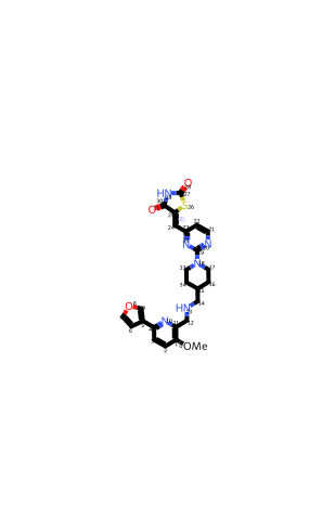 COc1ccc(-c2ccoc2)nc1CNCC1CCN(c2nccc(/C=C3\SC(=O)NC3=O)n2)CC1